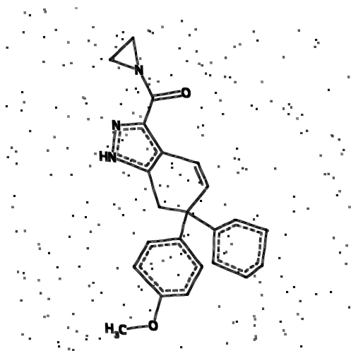 COc1ccc(C2(c3ccccc3)C=Cc3c(C(=O)N4CC4)n[nH]c3C2)cc1